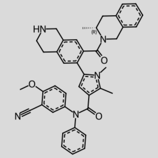 COc1ccc(N(C(=O)c2cc(-c3cc4c(cc3C(=O)N3Cc5ccccc5C[C@H]3C)CNCC4)n(C)c2C)c2ccccc2)cc1C#N